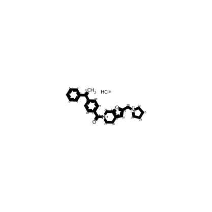 C=C(c1ccccc1)c1ccc(C(=O)N2CCc3cc(CN4CCCC4)oc3C2)cc1.Cl